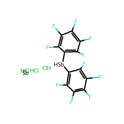 Cl.Cl.Cl.Fc1c(F)c(F)[c]([SbH][c]2c(F)c(F)c(F)c(F)c2F)c(F)c1F.[Sb]